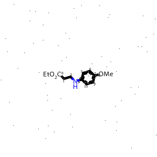 CCOC(=O)CCNc1ccc(OC)cc1